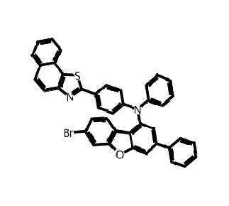 Brc1ccc2c(c1)oc1cc(-c3ccccc3)cc(N(c3ccccc3)c3ccc(-c4nc5ccc6ccccc6c5s4)cc3)c12